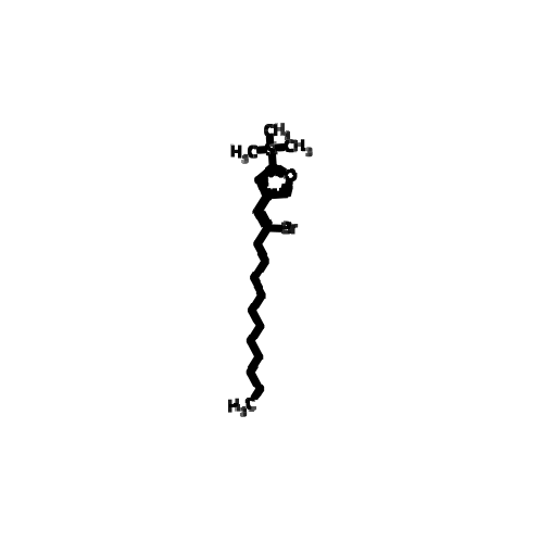 CCCCCCCCCCC/C(Br)=C/c1coc([Si](C)(C)C)c1